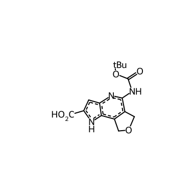 CC(C)(C)OC(=O)Nc1nc2cc(C(=O)O)[nH]c2c2c1COC2